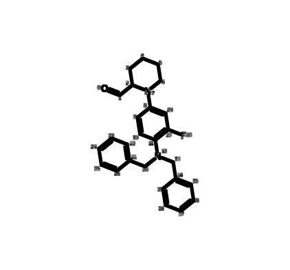 O=CC1CCCCN1c1ccc(N(Cc2ccccc2)Cc2ccccc2)c(F)c1